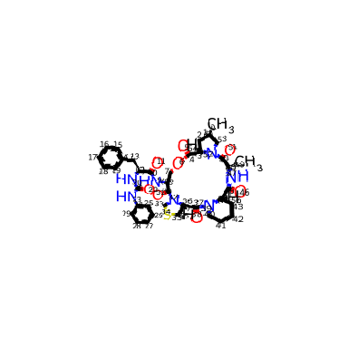 C[C@@H]1C[C@H]2C(=O)OC[C@H](NC(=O)[C@H](Cc3ccccc3)NC(=O)Nc3ccccc3)C(=O)N3CSC[C@H]3C(=O)N3CCCC[C@H]3C(=O)N[C@@H](C)C(=O)N2C1